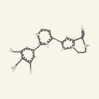 O=C1NCCn2nc(-c3ccnc(-c4cc(Cl)c(O)c(Cl)c4)n3)cc21